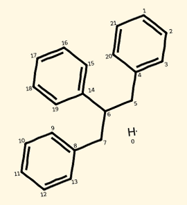 [H].c1ccc(CC(Cc2ccccc2)c2ccccc2)cc1